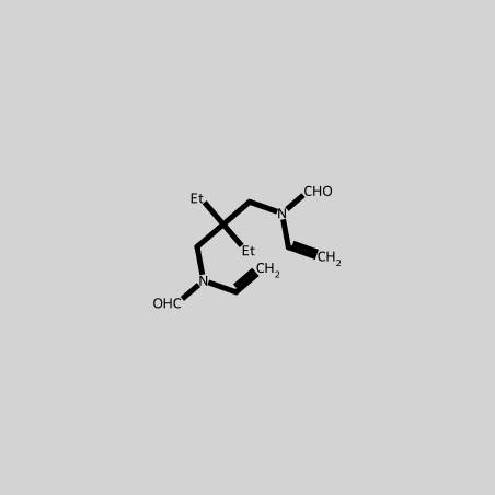 C=CN(C=O)CC(CC)(CC)CN(C=C)C=O